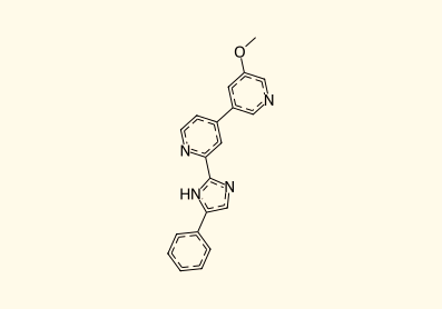 COc1cncc(-c2ccnc(-c3ncc(-c4ccccc4)[nH]3)c2)c1